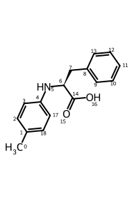 Cc1ccc(N[C@@H](Cc2ccccc2)C(=O)O)cc1